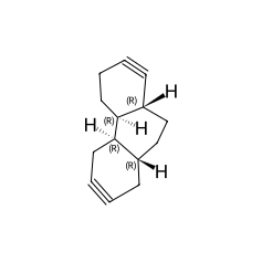 C1#C[C@@H]2CC[C@@H]3CC#CC[C@H]3[C@H]2CC1